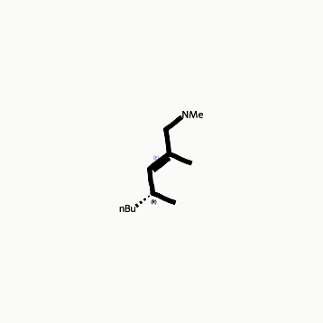 CCCC[C@@H](C)/C=C(\C)CNC